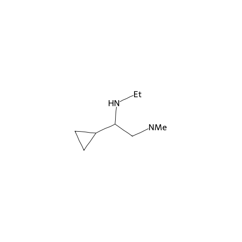 CCNC(CNC)C1CC1